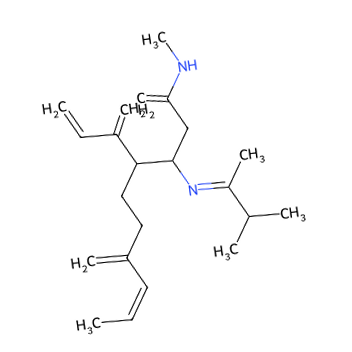 C=CC(=C)C(CCC(=C)/C=C\C)C(CC(=C)NC)/N=C(\C)C(C)C